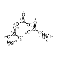 O=[Si]([O-])[O-].O=[Si]([O-])[O-].O=[Si]([O-])[O-].[Al+3].[Mg+2].[Na+]